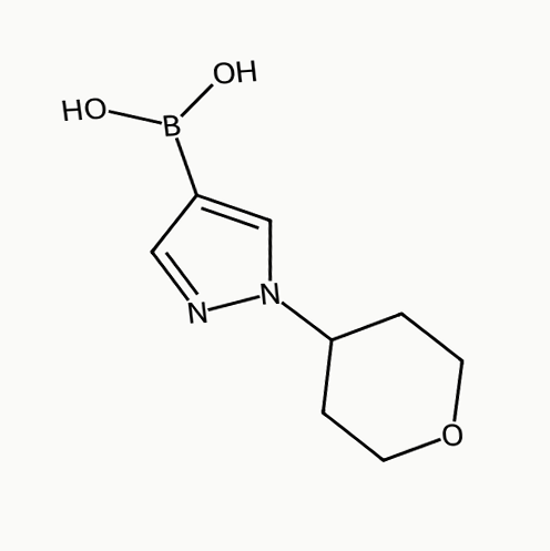 OB(O)c1cnn(C2CCOCC2)c1